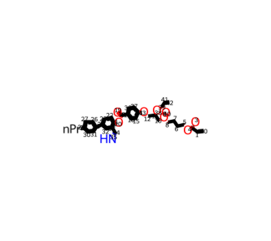 C=CC(=O)OCCCCOCC(COc1ccc(C(=O)Oc2ccc(-c3ccc(CCC)cc3)cc2C=N)cc1)OC(=O)C=C